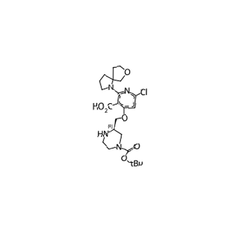 CC(C)(C)OC(=O)N1CCN[C@@H](COc2cc(Cl)nc(N3CCCC34CCOC4)c2C(=O)O)C1